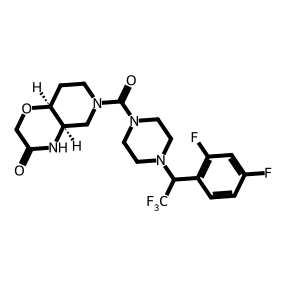 O=C1CO[C@H]2CCN(C(=O)N3CCN(C(c4ccc(F)cc4F)C(F)(F)F)CC3)C[C@H]2N1